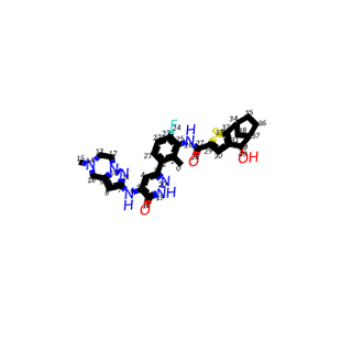 Cc1c(-c2cc(Nc3cc4n(n3)CCN(C)C4)c(=O)[nH]n2)ccc(F)c1NC(=O)c1cc2c(s1)C1CCC(C1)[C@H]2O